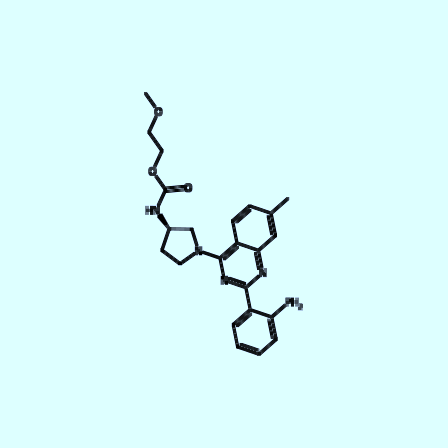 COCCOC(=O)N[C@@H]1CCN(c2nc(-c3ccccc3P)nc3cc(C)ccc23)C1